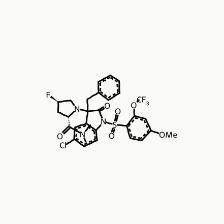 COc1ccc(S(=O)(=O)N2C(=O)C(Cc3ccccc3)(N3C[C@H](F)C[C@H]3C(=O)N(C)C)c3cc(Cl)ccc32)c(OC(F)(F)F)c1